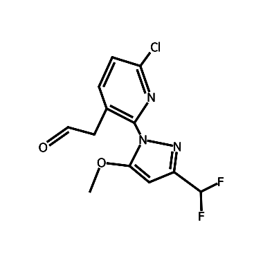 COc1cc(C(F)F)nn1-c1nc(Cl)ccc1CC=O